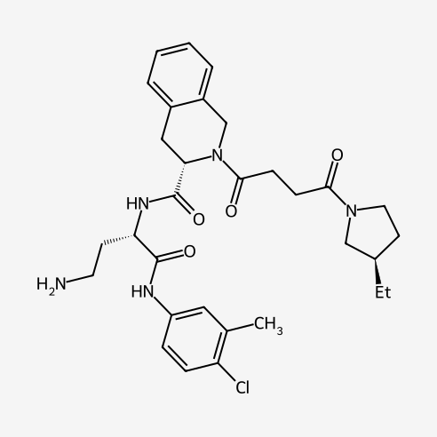 CC[C@@H]1CCN(C(=O)CCC(=O)N2Cc3ccccc3C[C@H]2C(=O)N[C@@H](CCN)C(=O)Nc2ccc(Cl)c(C)c2)C1